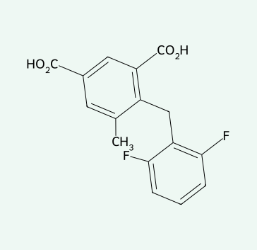 Cc1cc(C(=O)O)cc(C(=O)O)c1Cc1c(F)cccc1F